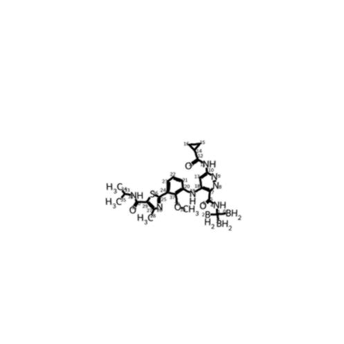 BC(B)(B)NC(=O)c1nnc(NC(=O)C2CC2)cc1Nc1cccc(-c2nc(C)c(C(=O)NC(C)C)s2)c1OC